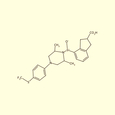 CC1CN(c2ccc(SC(F)(F)F)cc2)CC(C)N1[S+]([O-])c1cccc2c1CC(C(=O)O)C2